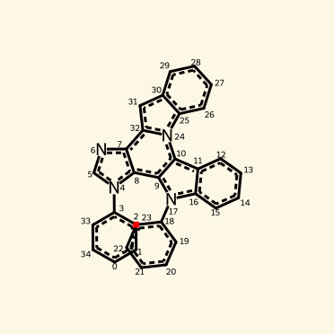 c1ccc(-n2cnc3c2c2c(c4ccccc4n2-c2ccccc2)n2c4ccccc4cc32)cc1